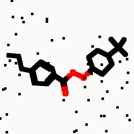 CCCc1ccc(C(=O)OO[C]2CCC(C(C)(C)C)CC2)cc1